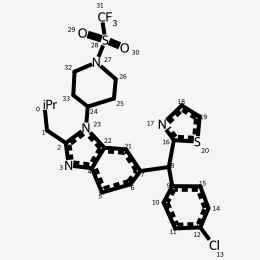 CC(C)Cc1nc2ccc(C(c3ccc(Cl)cc3)c3nccs3)cc2n1C1CCN(S(=O)(=O)C(F)(F)F)CC1